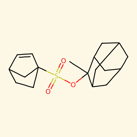 CC1(OS(=O)(=O)C23C=CC(CC2)C3)C2CC3CC(C2)CC1C3